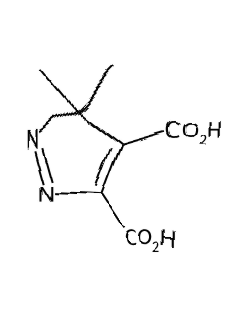 CC1(C)N=NC(C(=O)O)=C1C(=O)O